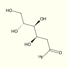 O=C([18F])C[C@@H](O)[C@H](O)[C@H](O)CO